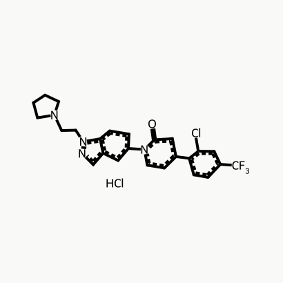 Cl.O=c1cc(-c2ccc(C(F)(F)F)cc2Cl)ccn1-c1ccc2c(cnn2CCN2CCCC2)c1